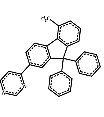 Cc1cccc2c1-c1ccc(-c3ccncn3)cc1C2(c1ccccc1)c1ccccc1